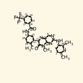 Cc1ccc(Nc2ncc3nc(-c4cc(NC(=O)c5cccc(C(F)(F)F)c5)ccc4C)c(=O)n(C)c3n2)c(C)n1